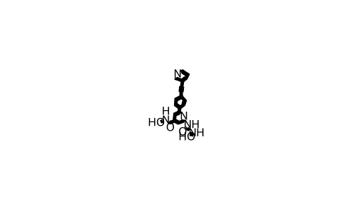 O=C(NO)Nc1cc(C(=O)NO)cc(-c2ccc(C#Cc3cccnc3)cc2)n1